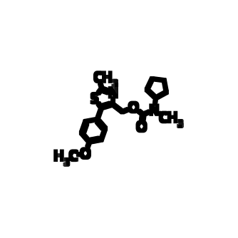 COc1ccc(-c2sc(C)nc2COC(=O)N(C)C2CCCC2)cc1